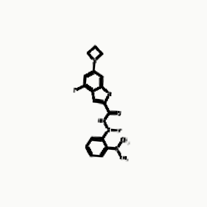 CN(C)c1ccccc1[S+]([O-])NC(=O)c1cc2c(F)cc(N3CCC3)cc2o1